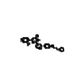 Cn1c(N2CCO[C@@H](c3ccc(OCCCN4CCCC4)cc3)C2)nc(-c2ccncc2F)cc1=O